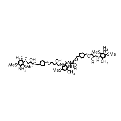 CSc1cc(C)c(NCC(O)COCC2CCC(COCCC(O)CNc3c(SC)cc(C)c(NCC(O)COCC4CCC(COCC(O)CNc5c(C)cc(SC)c(N)c5SC)CC4)c3SC)CC2)c(SC)c1N